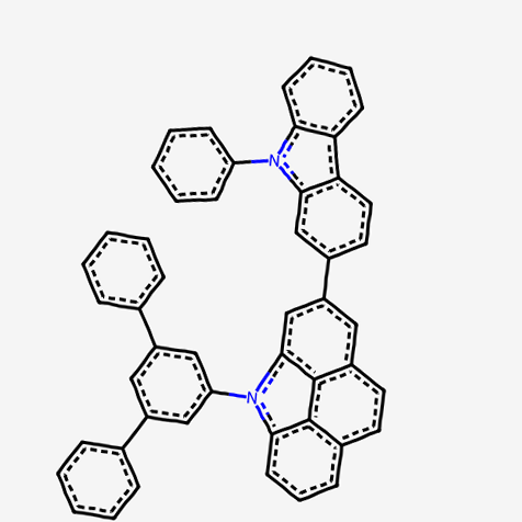 c1ccc(-c2cc(-c3ccccc3)cc(-n3c4cccc5ccc6cc(-c7ccc8c9ccccc9n(-c9ccccc9)c8c7)cc3c6c54)c2)cc1